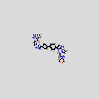 CC(C)[C@H](NC(=O)O)C(=O)N1CCC[C@H]1c1nc(-c2ccc(-c3ccc(-c4c[nH]c([C@@H]5CCCN5C(=O)[C@H](C)NC5CCOCC5)n4)cc3)cc2)c[nH]1